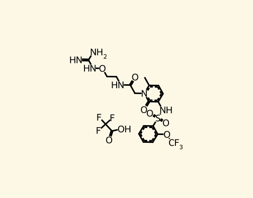 Cc1ccc(NS(=O)(=O)c2ccccc2OC(F)(F)F)c(=O)n1CC(=O)NCCONC(=N)N.O=C(O)C(F)(F)F